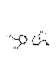 COc1ccc(C2CCC(CBr)C(C)C2)cc1C